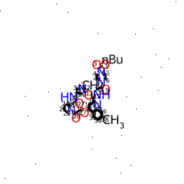 CCCCOC(=O)N1CCN(C(=O)CNC(=O)c2cc(OCC(=O)N3CCC[C@H]3C(=O)NC3CN(C)C3)c3ccc(C)cc3n2)CC1